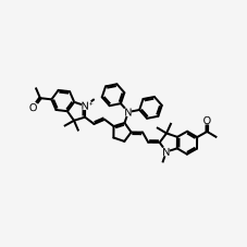 CC(=O)c1ccc2c(c1)C(C)(C)C(/C=C/C1=C(N(c3ccccc3)c3ccccc3)C(=C/C=C3/N(C)c4ccc(C(C)=O)cc4C3(C)C)/CC1)=[N+]2C